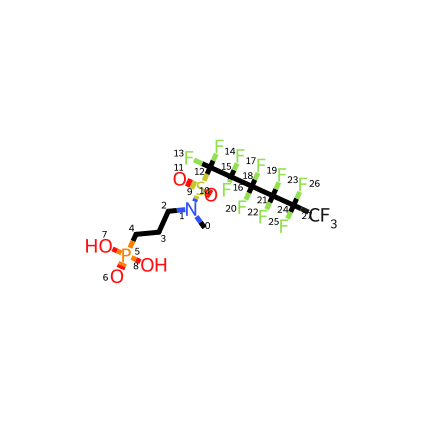 CN(CCCP(=O)(O)O)S(=O)(=O)C(F)(F)C(F)(F)C(F)(F)C(F)(F)C(F)(F)C(F)(F)F